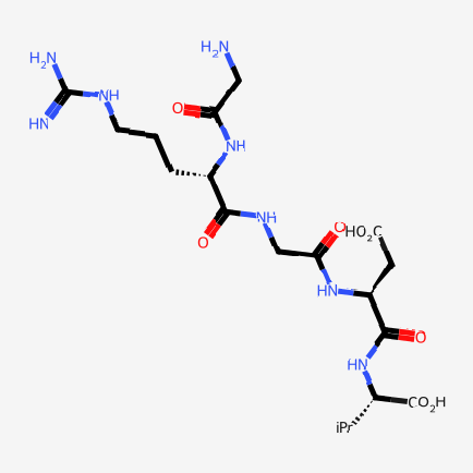 CC(C)[C@H](NC(=O)[C@H](CC(=O)O)NC(=O)CNC(=O)[C@H](CCCNC(=N)N)NC(=O)CN)C(=O)O